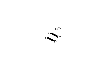 [Cl][Pt-].[Cl][Pt-].[Ni+2]